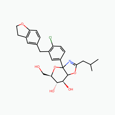 CC(C)CC1=NC2(c3ccc(Cl)c(Cc4ccc5c(c4)CCO5)c3)O[C@H](CO)[C@@H](O)[C@H](O)C2O1